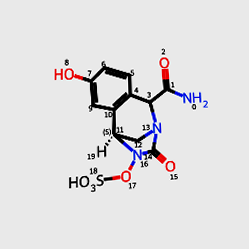 NC(=O)C1c2ccc(O)cc2[C@H]2CN1C(=O)N2OS(=O)(=O)O